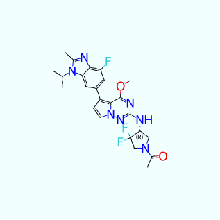 COc1nc(N[C@@H]2CN(C(C)=O)CC2(F)F)nn2ccc(-c3cc(F)c4nc(C)n(C(C)C)c4c3)c12